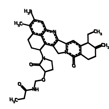 Bc1cc2nc3c(c4c2c(c1C)CCC4N1CCC(OCNC(=O)CC)C1=O)Cn1c-3cc2c(c1=O)CCC(=C)C2CC